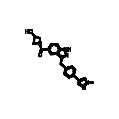 Cn1cc(-c2ccc(Cc3n[nH]c4ccc(C(=O)N5CC(O)C5)cc34)cc2)cn1